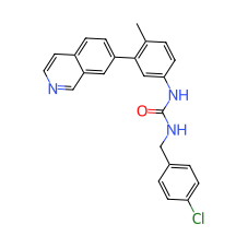 Cc1ccc(NC(=O)NCc2ccc(Cl)cc2)cc1-c1ccc2ccncc2c1